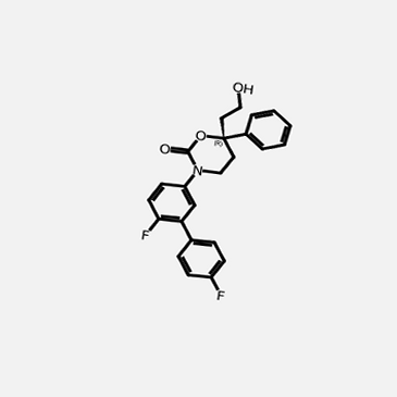 O=C1O[C@](CCO)(c2ccccc2)CCN1c1ccc(F)c(-c2ccc(F)cc2)c1